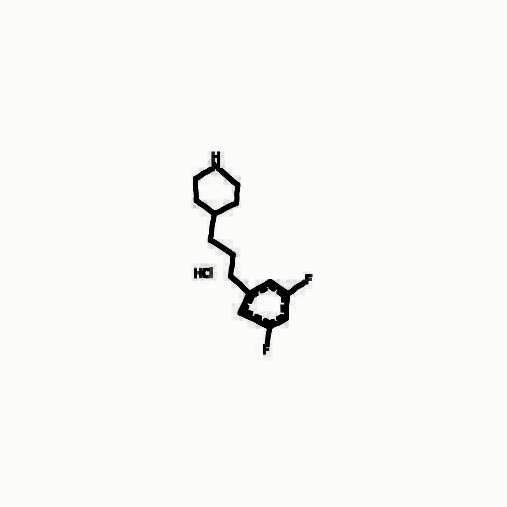 Cl.Fc1cc(F)cc(CCCC2CCNCC2)c1